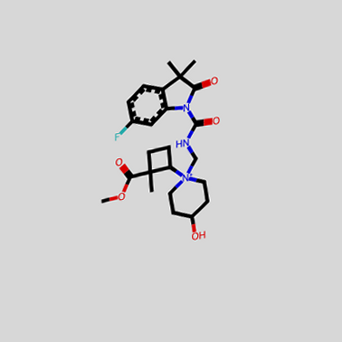 COC(=O)C1(C)CCC1[N+]1(CNC(=O)N2C(=O)C(C)(C)c3ccc(F)cc32)CCC(O)CC1